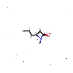 CCCC1CC(=O)N1C